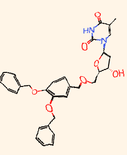 Cc1cn([C@H]2C[C@H](O)[C@@H](COCc3ccc(OCc4ccccc4)c(OCc4ccccc4)c3)O2)c(=O)[nH]c1=O